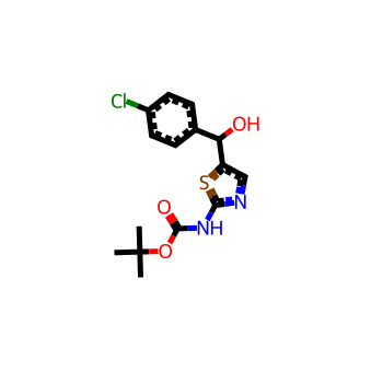 CC(C)(C)OC(=O)Nc1ncc(C(O)c2ccc(Cl)cc2)s1